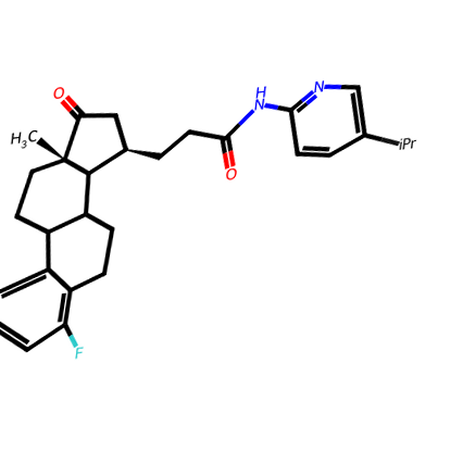 CC(C)c1ccc(NC(=O)CC[C@@H]2CC(=O)[C@@]3(C)CCC4c5cccc(F)c5CCC4C23)nc1